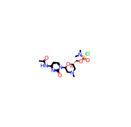 CC(=O)Nc1ccn(C2CN(C)C[C@@H](CO[P@@](=O)(Cl)N(C)C)O2)c(=O)n1